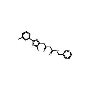 Cc1cccc(-c2nc(CC(=O)CC(=O)NCc3cccnc3)c(C)o2)c1